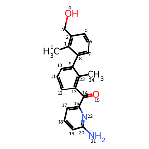 Cc1c(CO)cccc1-c1cccc(C(=O)c2cccc(N)n2)c1C